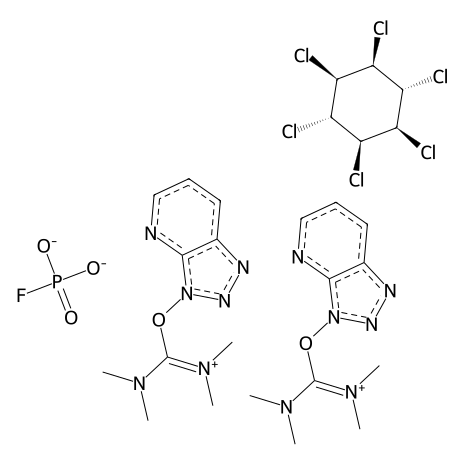 CN(C)C(On1nnc2cccnc21)=[N+](C)C.CN(C)C(On1nnc2cccnc21)=[N+](C)C.Cl[C@H]1[C@H](Cl)[C@@H](Cl)[C@@H](Cl)[C@H](Cl)[C@H]1Cl.O=P([O-])([O-])F